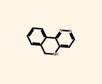 c1ccc2c(c1)CNc1ccnnc1-2